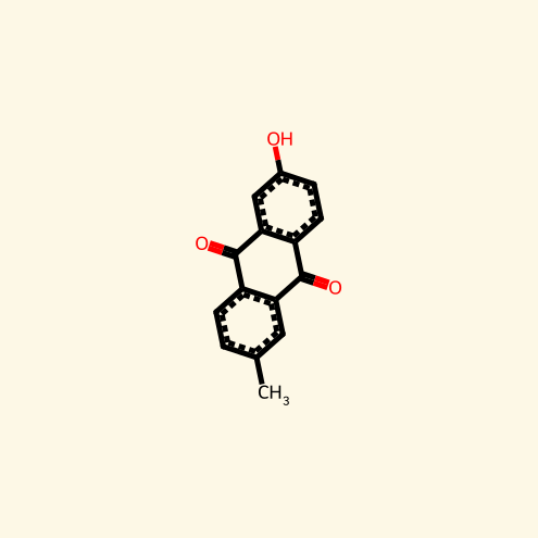 Cc1ccc2c(c1)C(=O)c1ccc(O)cc1C2=O